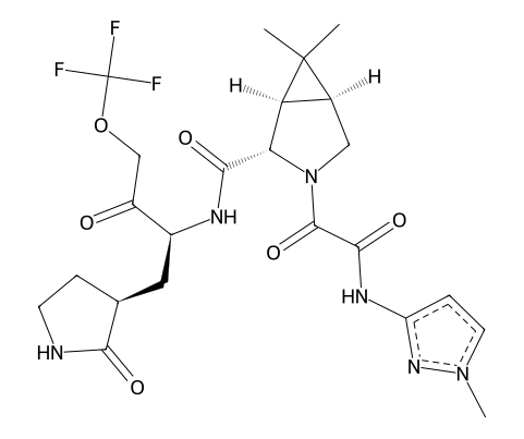 Cn1ccc(NC(=O)C(=O)N2C[C@H]3[C@@H]([C@H]2C(=O)N[C@@H](C[C@@H]2CCNC2=O)C(=O)COC(F)(F)F)C3(C)C)n1